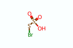 O=S(=O)(O)SBr